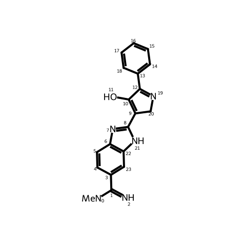 CNC(=N)c1ccc2nc(C3=C(O)C(c4ccccc4)=NC3)[nH]c2c1